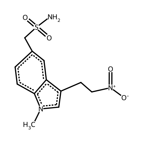 Cn1cc(CC[N+](=O)[O-])c2cc(CS(N)(=O)=O)ccc21